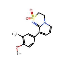 Cc1cc(C2=CC=CN3CCS(=O)(=O)N=C23)ccc1OC(C)C